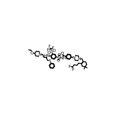 CCOC1CCN(CCC(CSc2ccccc2)Nc2ccc(S(=O)(=O)NC(=O)c3ccc(N4CCN(CC5=C(CCCC(F)F)CC(C)(C)CC5)CC4)cc3)cc2S(=O)(=O)C(F)(F)F)CC1